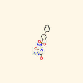 O=C1CN(CNS(=O)(=O)c2ccc(-c3ccccc3)cc2)C(=O)N1